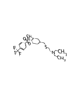 CCN(CC)CCSC[C@H]1CC[C@H](N(C)S(=O)(=O)c2ccc(C(F)(F)F)cc2)CC1